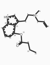 C=CCN(C)CCc1c[nH]c2cccc(OC(=O)CCC)c12